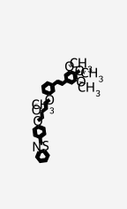 COc1cc(C=Cc2cccc(OCCC(COc3ccc(-c4nc5ccccc5s4)cc3)OC)c2)cc(OC)c1OC